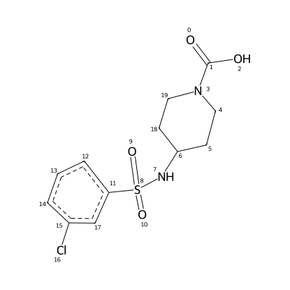 O=C(O)N1CCC(NS(=O)(=O)c2cccc(Cl)c2)CC1